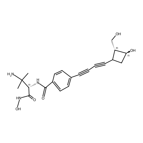 CC(C)(N)[C@H](NC(=O)c1ccc(C#CC#CC2C[C@H](O)[C@H]2CO)cc1)C(=O)NO